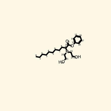 CCCCCCCCCC(C(=O)Oc1ccccc1)N(CCO)CCO